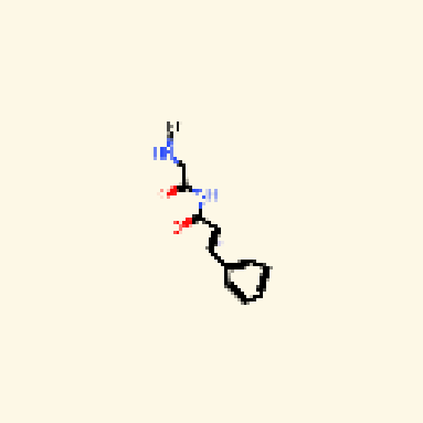 CCNCC(=O)NC(=O)/C=C/c1ccccc1